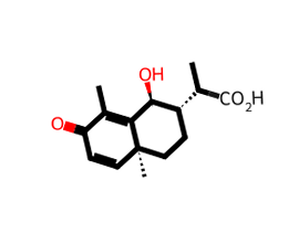 CC1=C2[C@@H](O)[C@H](C(C)C(=O)O)CC[C@@]2(C)C=CC1=O